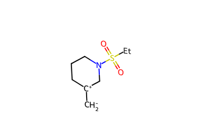 [CH2-][C+]1CCCN(S(=O)(=O)CC)C1